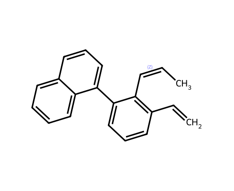 C=Cc1cccc(-c2cccc3ccccc23)c1/C=C\C